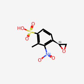 Cc1c(S(=O)(=O)O)ccc([C@H]2CO2)c1[N+](=O)[O-]